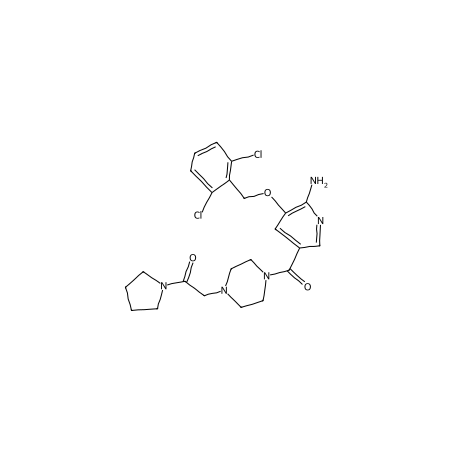 Nc1ncc(C(=O)N2CCN(CC(=O)N3CCCC3)CC2)cc1OCc1c(Cl)cccc1Cl